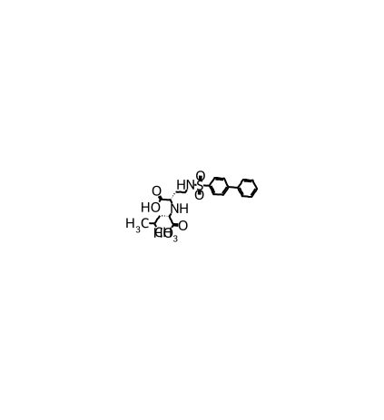 CC(C)C[C@H](N[C@@H](CCNS(=O)(=O)c1ccc(-c2ccccc2)cc1)C(=O)O)C(=O)O